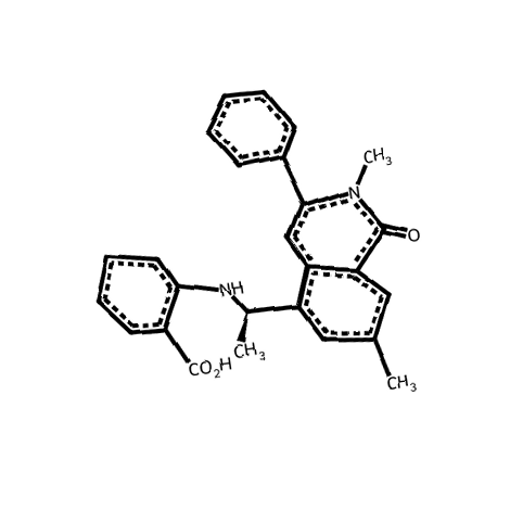 Cc1cc([C@@H](C)Nc2ccccc2C(=O)O)c2cc(-c3ccccc3)n(C)c(=O)c2c1